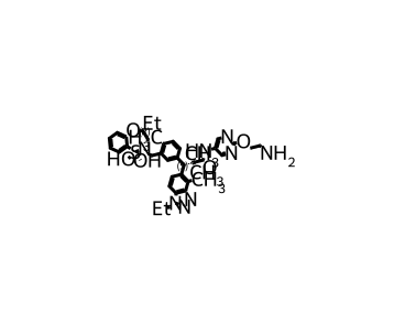 CC[C@@H]1CN(Cc2cc([C@@H](c3ccc4c(nnn4CC)c3C)C(C)(C)C(=O)Nc3cnc(OCCN)nc3)ccc2C)S(O)(O)c2ccccc2O1